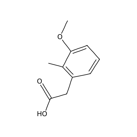 COc1cccc(CC(=O)O)c1C